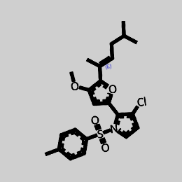 COc1cc(-c2c(Cl)ccn2S(=O)(=O)c2ccc(C)cc2)oc1/C(C)=C/CC(C)C